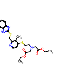 CCOC(=O)CN(CCSc1ccnc(CSc2nc3ccccc3[nH]2)c1C)CC(=O)OCC